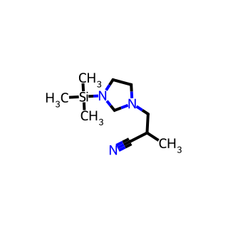 CC(C#N)CN1CCN([Si](C)(C)C)C1